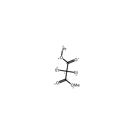 CCC(CC)(C(=O)OC)C(=O)OC(C)C